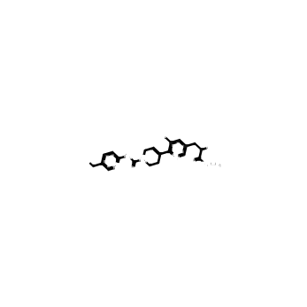 CNC(=O)C(C)Cc1cnc(C2=CCN(C(=O)Nc3ccc(CF)cn3)CC2)c(Cl)c1